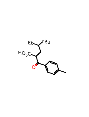 CCCCC(CC)CC(C(=O)O)C(=O)c1ccc(C)cc1